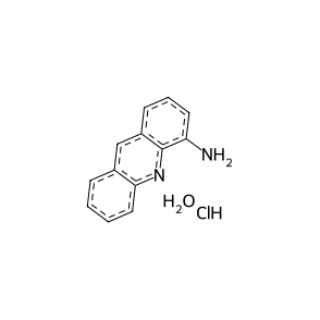 Cl.Nc1cccc2cc3ccccc3nc12.O